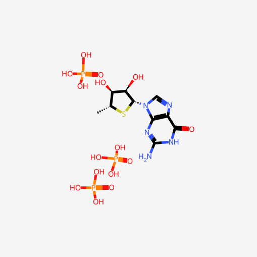 C[C@H]1S[C@@H](n2cnc3c(=O)[nH]c(N)nc32)[C@H](O)[C@@H]1O.O=P(O)(O)O.O=P(O)(O)O.O=P(O)(O)O